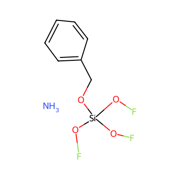 FO[Si](OF)(OF)OCc1ccccc1.N